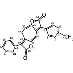 Cc1ccc(C2=C3C=C4OC(=O)C(c5ccccc5)=C4CC=C3OC2=O)cc1